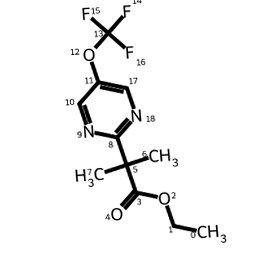 CCOC(=O)C(C)(C)c1ncc(OC(F)(F)F)cn1